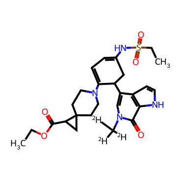 [2H]C([2H])([2H])n1cc(C2CC(NS(=O)(=O)CC)=CC=C2N2CCC3(CC2)CC3C(=O)OCC)c2cc[nH]c2c1=O